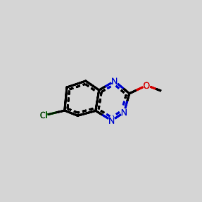 COc1nnc2cc(Cl)ccc2n1